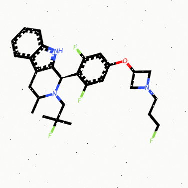 CC1Cc2c([nH]c3ccccc23)[C@@H](c2c(F)cc(OC3CN(CCCF)C3)cc2F)N1CC(C)(C)F